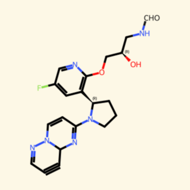 O=CNC[C@@H](O)COc1ncc(F)cc1[C@H]1CCCN1C1=NC2C#CC=NN2C=C1